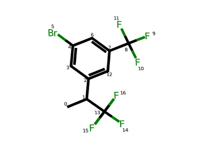 CC(c1cc(Br)cc(C(F)(F)F)c1)C(F)(F)F